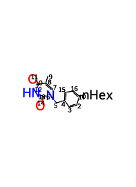 CCCCCCc1ccc(Cn2cc(C)c(=O)[nH]c2=O)cc1